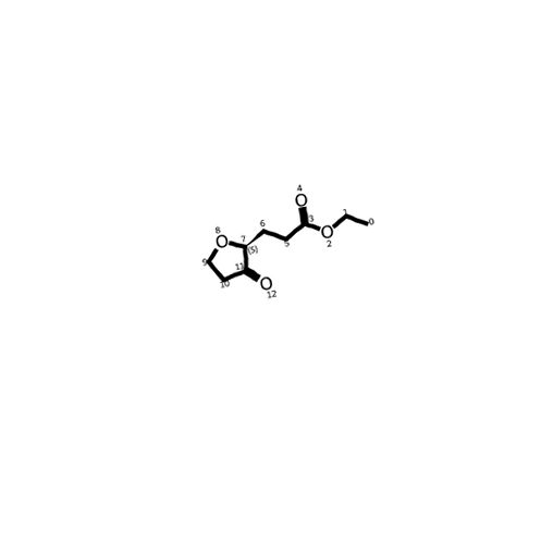 CCOC(=O)CC[C@@H]1OCCC1=O